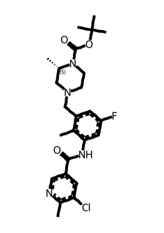 Cc1ncc(C(=O)Nc2cc(F)cc(CN3CCN(C(=O)OC(C)(C)C)[C@@H](C)C3)c2C)cc1Cl